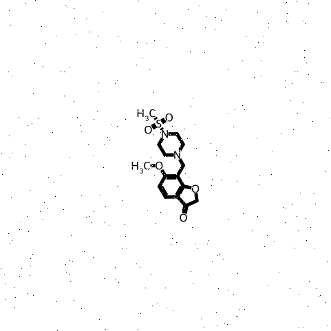 COc1ccc2c(c1CN1CCN(S(C)(=O)=O)CC1)OCC2=O